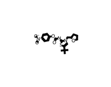 CC(C)(C)c1cn(CC2CCCO2)c(=NC(=O)Oc2ccc([N+](=O)[O-])cc2)s1